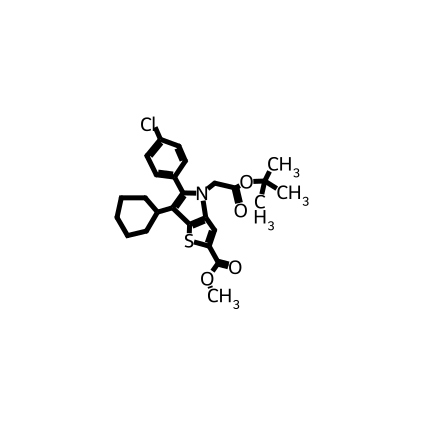 COC(=O)c1cc2c(s1)c(C1CCCCC1)c(-c1ccc(Cl)cc1)n2CC(=O)OC(C)(C)C